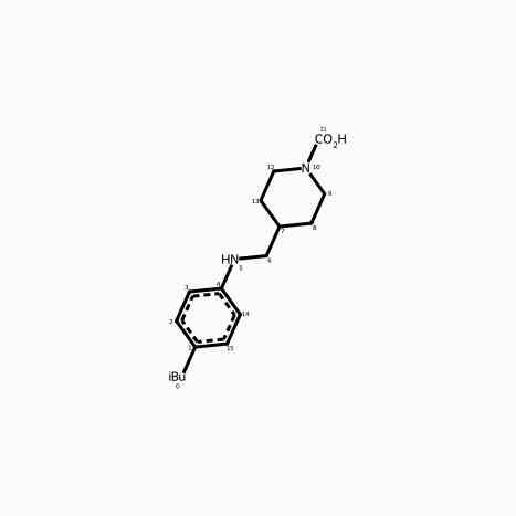 CCC(C)c1ccc(NCC2CCN(C(=O)O)CC2)cc1